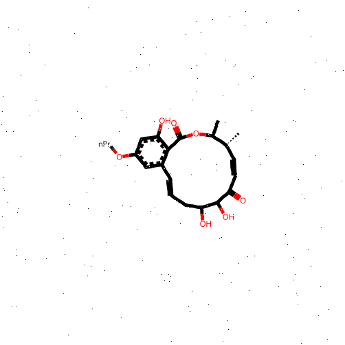 CCCOc1cc(O)c2c(c1)/C=C/CC(O)C(O)C(=O)/C=C\[C@@H](C)C(C)OC2=O